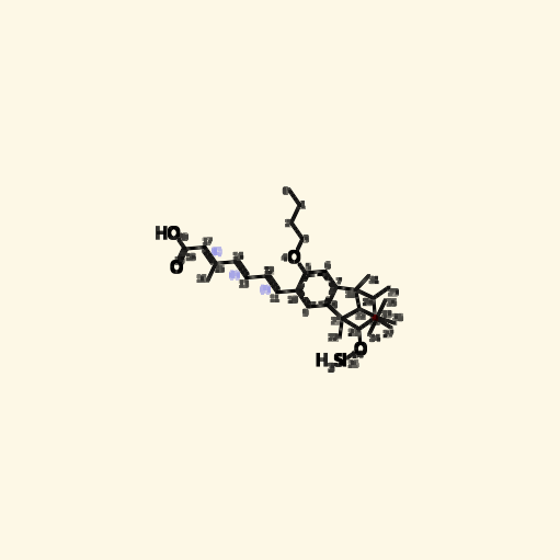 CCCCOc1cc2c(cc1/C=C/C=C/C(C)=C/C(=O)O)C1(C)C(O[SiH3])C(C)C(C)C2(C)C1C(C)(C)C